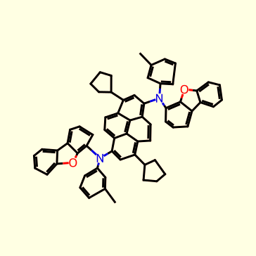 Cc1cccc(N(c2cc(C3CCCC3)c3ccc4c(N(c5cccc(C)c5)c5cccc6c5oc5ccccc56)cc(C5CCCC5)c5ccc2c3c54)c2cccc3c2oc2ccccc23)c1